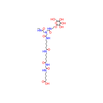 CCNC(=O)CN(CC(=O)NCCCCCC(=O)NCCCCCC(=O)NCC(=O)NCCCCCC(=O)O)CC(=O)NCCO[C@H]1O[C@H](CO)[C@@H](O)[C@H](O)[C@@H]1O